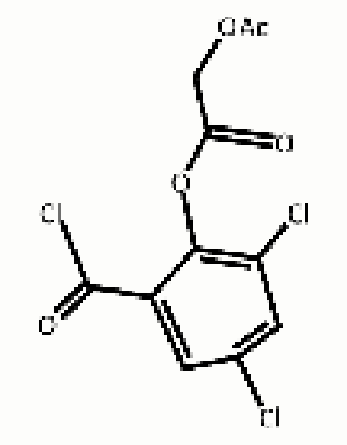 CC(=O)OCC(=O)Oc1c(Cl)cc(Cl)cc1C(=O)Cl